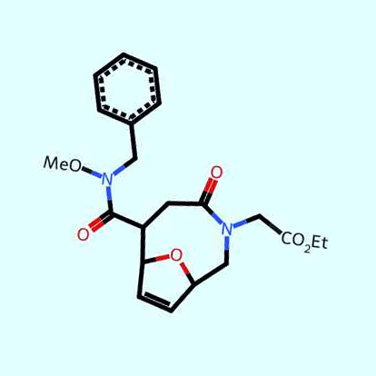 CCOC(=O)CN1CC2C=CC(O2)C(C(=O)N(Cc2ccccc2)OC)CC1=O